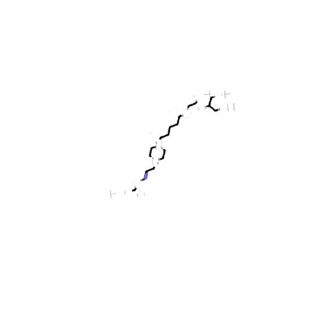 CCC(CO)OC(O)COC(=O)CCCC(=O)N1CCN(C/C=C/OC(C)=O)CC1